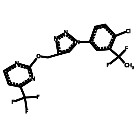 CC(F)(F)c1cc(-n2cc(COc3nccc(C(F)(F)F)n3)nn2)ccc1Cl